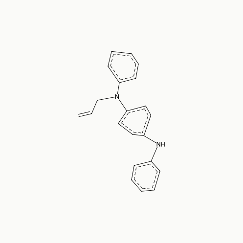 C=CCN(c1ccccc1)c1ccc(Nc2ccccc2)cc1